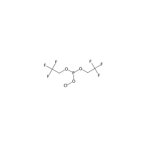 FC(F)(F)COP(OCl)OCC(F)(F)F